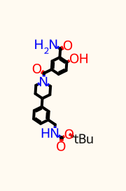 CC(C)(C)OC(=O)NCc1cccc(C2CCN(C(=O)c3ccc(O)c(C(N)=O)c3)CC2)c1